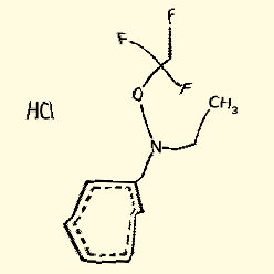 CCN(OC(F)(F)F)c1ccccc1.Cl